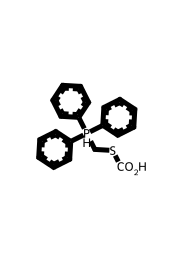 O=C(O)SC[PH](c1ccccc1)(c1ccccc1)c1ccccc1